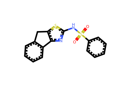 O=S(=O)(Nc1nc2c(s1)Cc1ccccc1-2)c1ccccc1